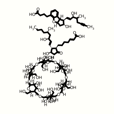 CC#CCC(C)[C@H](O)/C=C/[C@@H]1[C@H]2c3cccc(CCCC(=O)O)c3O[C@H]2C[C@H]1O.CCCC[C@H](C)C[C@H](O)/C=C/[C@H]1[C@H](O)CC(=O)[C@@H]1CCCC/C=C/C(=O)O.OC[C@H]1O[C@@H]2O[C@H]3[C@H](O)[C@@H](O)[C@@H](O[C@H]4[C@H](O)[C@@H](O)[C@@H](O[C@H]5[C@H](O)[C@@H](O)[C@@H](O[C@H]6[C@H](O)[C@@H](O)[C@@H](O[C@H]7[C@H](O)[C@@H](O)[C@@H](O[C@H]1[C@H](O)[C@H]2O)O[C@@H]7CO)O[C@@H]6CO)O[C@@H]5CO)O[C@@H]4CO)O[C@@H]3CO